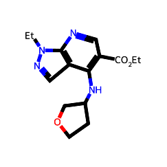 CCOC(=O)c1cnc2c(cnn2CC)c1NC1CCOC1